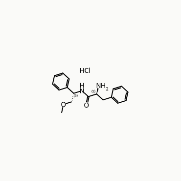 COC[C@@H](NC(=O)[C@@H](N)Cc1ccccc1)c1ccccc1.Cl